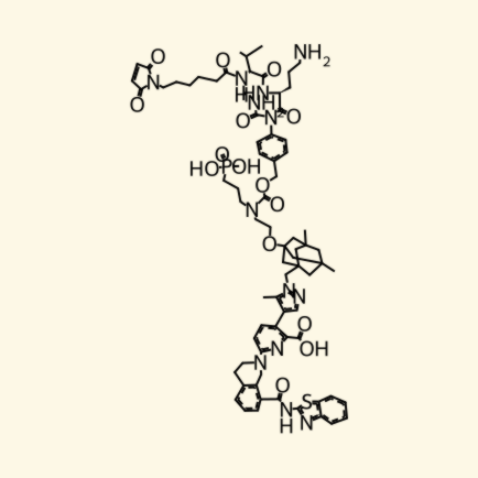 Cc1c(-c2ccc(N3CCc4cccc(C(=O)Nc5nc6ccccc6s5)c4C3)nc2C(=O)O)cnn1CC12CC3(C)CC(C)(C1)CC(OCCN(CCCP(=O)(O)O)C(=O)OCc1ccc(N(C(N)=O)C(=O)[C@H](CCCN)NC(=O)[C@@H](NC(=O)CCCCCN4C(=O)C=CC4=O)C(C)C)cc1)(C3)C2